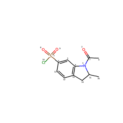 CC(=O)N1c2cc(S(=O)(=O)Cl)ccc2CC1C